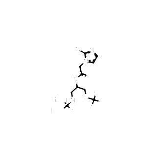 CC(=O)C(C)(C)NCC(CNC(C)(C)C(C)=O)NC(=O)Cn1ccnc1[N+](=O)[O-]